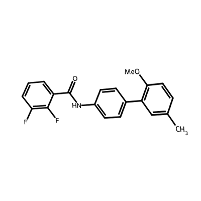 COc1ccc(C)cc1-c1ccc(NC(=O)c2cccc(F)c2F)cc1